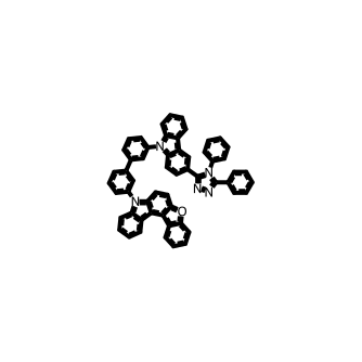 c1ccc(-c2nnc(-c3ccc4c(c3)c3ccccc3n4-c3cccc(-c4cccc(-n5c6ccccc6c6c7c(ccc65)oc5ccccc57)c4)c3)n2-c2ccccc2)cc1